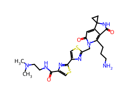 CN(C)CCNC(=O)c1csc(-c2csc(Cn3c(CCCN)c4c(cc3=O)C3(CC3)NC4=O)n2)n1